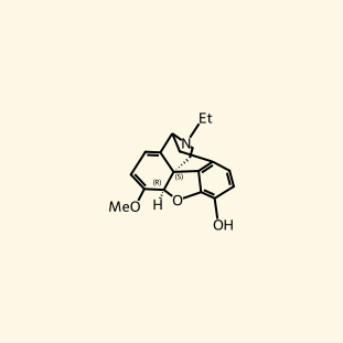 CCN1CC[C@@]23C4=CC=C(OC)[C@@H]2Oc2c(O)ccc(c23)CC41